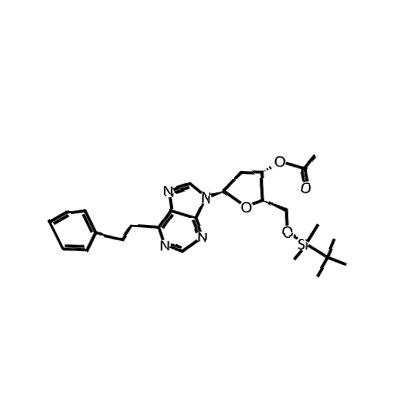 CC(=O)O[C@H]1C[C@H](n2cnc3c(CCc4ccccc4)ncnc32)O[C@@H]1CO[Si](C)(C)C(C)(C)C